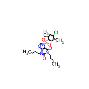 CCCCn1c(=O)c2c(ncn2S(=O)(=O)c2cc(C)c(Cl)cc2C)n(CCCC)c1=O